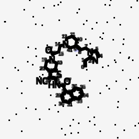 C=Cc1nccn1C/C=C1\CCCN(CCC(=O)N2CCc3c(sc(NC(=O)c4cccc5ccccc45)c3C#N)C2)C1